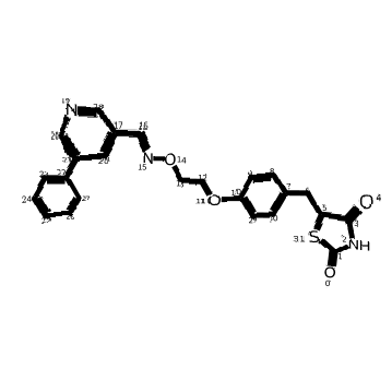 O=C1NC(=O)C(Cc2ccc(OCCON=Cc3cncc(-c4ccccc4)c3)cc2)S1